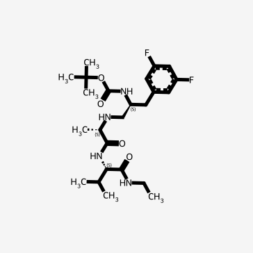 CCNC(=O)[C@@H](NC(=O)[C@H](C)NC[C@H](Cc1cc(F)cc(F)c1)NC(=O)OC(C)(C)C)C(C)C